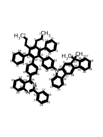 CCCc1c(CCC)c(-c2ccccc2)c(-c2ccc(-n3c4ccccc4c4cc5c(cc43)C(C)(C)c3ccccc3-5)cc2)c(-c2ccc(-c3nc(-c4ccccc4)nc4ccccc34)cc2)c1-c1ccccc1